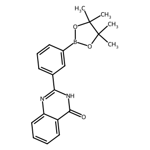 CC1(C)OB(c2cccc(-c3nc4ccccc4c(=O)[nH]3)c2)OC1(C)C